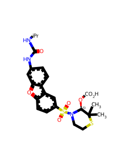 CC(C)NC(=O)Nc1ccc2c(c1)oc1ccc(S(=O)(=O)N3CCSC(C)(C)[C@@H]3OC(=O)O)cc12